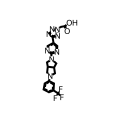 O=C(O)Cn1nnc(-c2cnc(N3CC4CN(c5cccc(C(F)(F)F)c5)CC4C3)nc2)n1